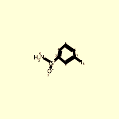 N[S+]([O-])c1cccc(I)c1